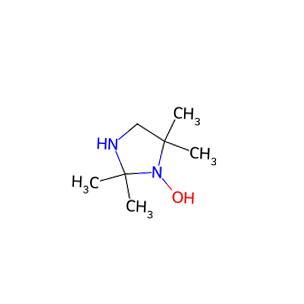 CC1(C)CNC(C)(C)N1O